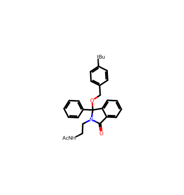 CC(=O)NCCN1C(=O)c2ccccc2C1(OCc1ccc(C(C)(C)C)cc1)c1ccccc1